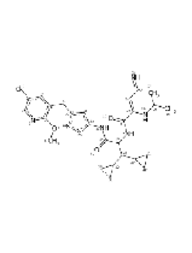 COc1ncc(Cl)cc1Cn1cc(NC(=O)C(NC(=O)/C(=C/C=N)NC(C)C)C(C2CC2)C2CC2)cn1